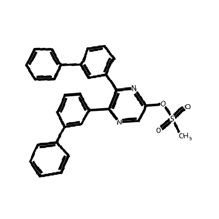 CS(=O)(=O)Oc1cnc(-c2cccc(-c3ccccc3)c2)c(-c2cccc(-c3ccccc3)c2)n1